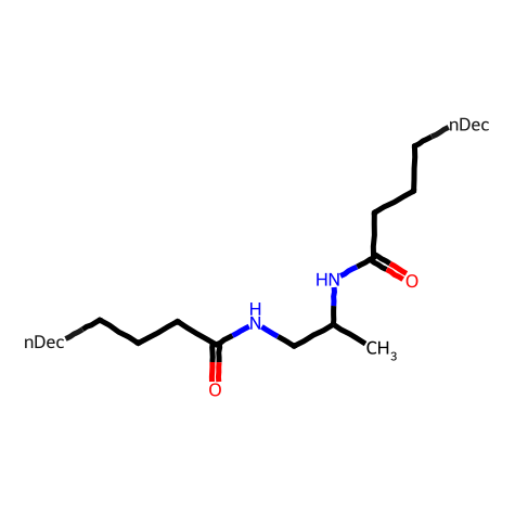 CCCCCCCCCCCCCC(=O)NCC(C)NC(=O)CCCCCCCCCCCCC